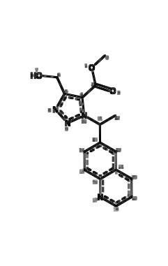 COC(=O)c1c(CO)nnn1C(C)c1ccc2ncccc2c1